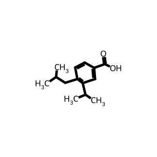 CC(C)Cc1ccc(C(=O)O)cc1C(C)C